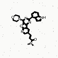 CN(C)C(=O)C=Cc1cnc2oc3c(N4CCOCC4)nc(-c4cccc5[nH]ccc45)nc3c2c1